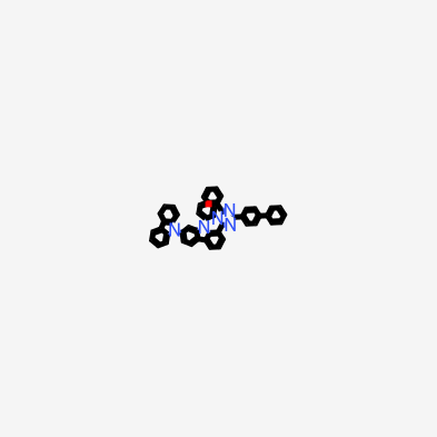 C1=Cc2c(c3ccccc3n2-c2ccc3c4cccc(-c5nc(-c6ccccc6)nc(-c6ccc(-c7ccccc7)cc6)n5)c4n(-c4ccccc4)c3c2)CC1